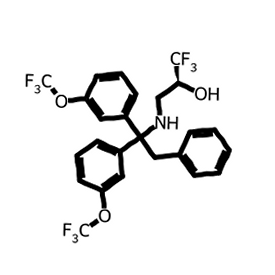 O[C@@H](CNC(Cc1ccccc1)(c1cccc(OC(F)(F)F)c1)c1cccc(OC(F)(F)F)c1)C(F)(F)F